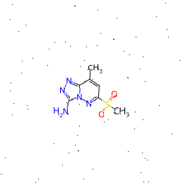 Cc1cc(S(C)(=O)=O)nn2c(N)nnc12